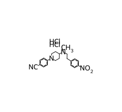 CN(CCc1ccc([N+](=O)[O-])cc1)C1CCN(c2ccc(C#N)cc2)CC1.Cl.Cl